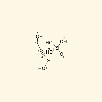 OCC#CCO.O[Si](O)(O)O